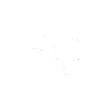 N.N.O=C([O-])C(O)C(O)C(=O)[O-].[Li+].[Li+]